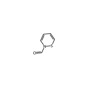 O=CN1C=CC=CS1